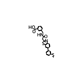 CSc1cccc(-c2ccc3nc(CC(=O)NCc4cccc(C(=O)O)c4)sc3c2)c1